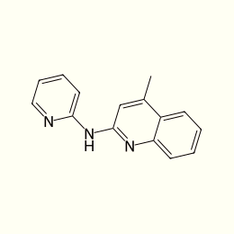 Cc1cc(Nc2ccccn2)nc2ccccc12